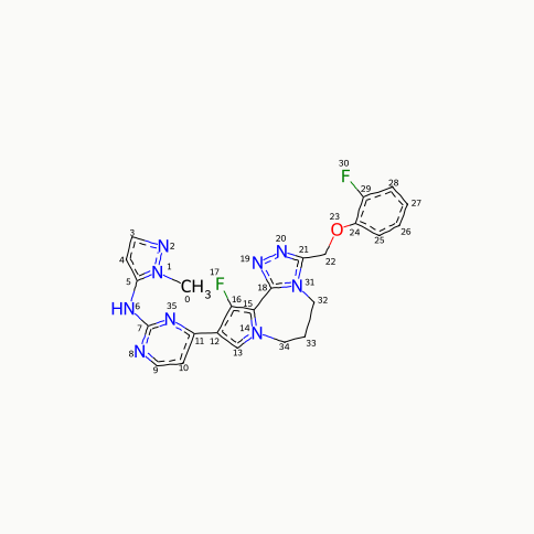 Cn1nccc1Nc1nccc(-c2cn3c(c2F)-c2nnc(COc4ccccc4F)n2CCC3)n1